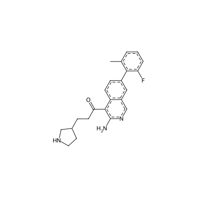 Cc1cccc(F)c1-c1ccc2c(C(=O)CCC3CCNC3)c(N)ncc2c1